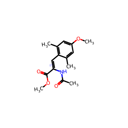 COC(=O)/C(=C/c1c(C)cc(OC)cc1C)NC(C)=O